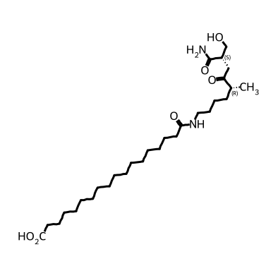 C[C@H](CCCCNC(=O)CCCCCCCCCCCCCCCCC(=O)O)C(=O)C[C@@H](CO)C(N)=O